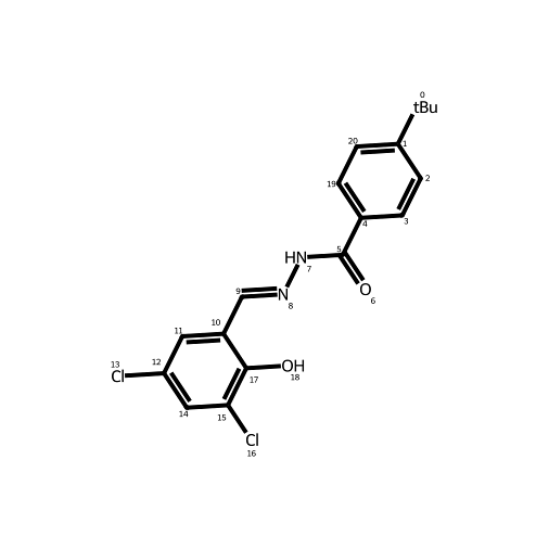 CC(C)(C)c1ccc(C(=O)N/N=C/c2cc(Cl)cc(Cl)c2O)cc1